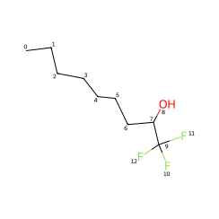 CCCCCCCC(O)C(F)(F)F